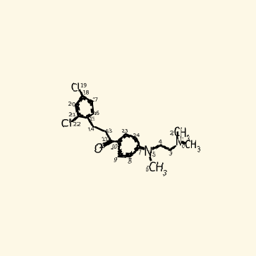 CN(C)CCN(C)c1ccc(C(=O)CCc2ccc(Cl)cc2Cl)cc1